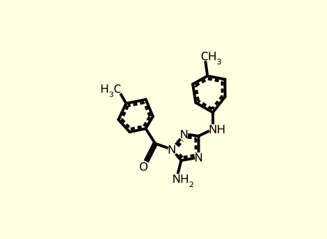 Cc1ccc(Nc2nc(N)n(C(=O)c3ccc(C)cc3)n2)cc1